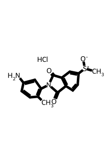 Cc1ccc(N)cc1N1C(=O)c2ccc([S+](C)[O-])cc2C1=O.Cl